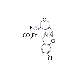 CCOC(=O)/C(F)=C1/COCc2cnn(Cc3ccc(Cl)cc3Cl)c21